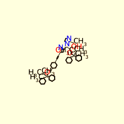 CC(O)c1nccn1C(CO[Si](c1ccccc1)(c1ccccc1)C(C)(C)C)c1cc(C#Cc2ccc(CO[Si](c3ccccc3)(c3ccccc3)C(C)(C)C)cc2)on1